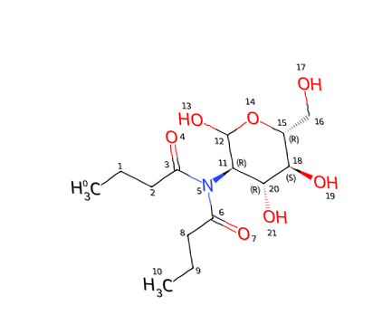 CCCC(=O)N(C(=O)CCC)[C@H]1C(O)O[C@H](CO)[C@@H](O)[C@@H]1O